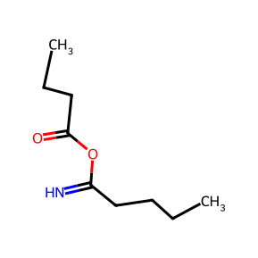 CCCCC(=N)OC(=O)CCC